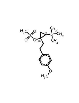 COc1ccc(CC[C@@]2(OS(C)(=O)=O)C[C@H]2[Si](C)(C)C)cc1